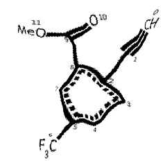 C#Cc1ccc(C(F)(F)F)cc1C(=O)OC